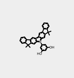 CC1(C)c2ccccc2-c2cc3c4cc5c(cc4n(-c4cc(O)cc(O)c4)c3cc21)C(C)(C)c1ccccc1-5